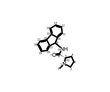 CN1CCC[C@H]1C(=O)NC1c2ccccc2-c2ccccc21